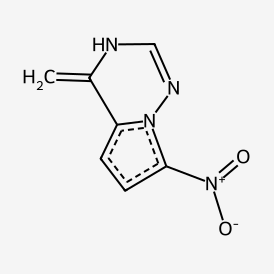 C=C1NC=Nn2c1ccc2[N+](=O)[O-]